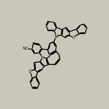 N#Cc1ccc(C2=CC(n3c4ccccc4c4cc5c(cc43)oc3ccccc35)=CCC2)c(-n2c3c(c4cc5c(cc42)oc2ccccc25)C=CCC#C3)c1